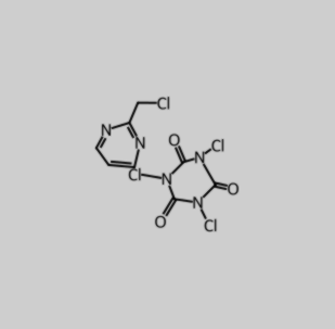 ClCc1ncccn1.O=c1n(Cl)c(=O)n(Cl)c(=O)n1Cl